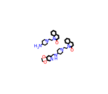 NC1CCN(CCn2c(=O)ccc3ccccc32)CC1.O=c1ccc2ccccc2n1CCN1CCC(NCc2cc3c(cn2)OCCO3)CC1